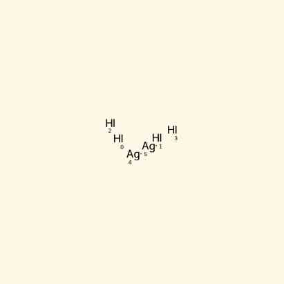 I.I.I.I.[Ag].[Ag]